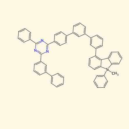 C[Si]1(c2ccccc2)c2ccccc2-c2c(-c3cccc(-c4cccc(-c5ccc(-c6nc(-c7ccccc7)nc(-c7cccc(-c8ccccc8)c7)n6)cc5)c4)c3)cccc21